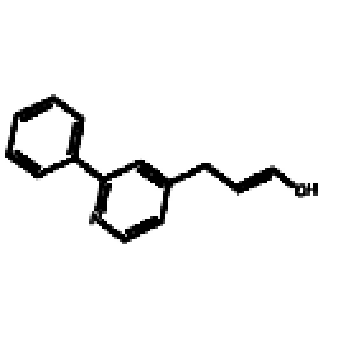 OC=CCc1ccnc(-c2ccccc2)c1